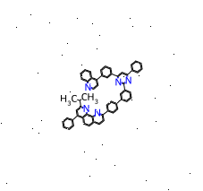 CC(C)c1cc(-c2ccccc2)c2ccc3ccc(-c4ccc(-c5cccc(-c6nc(-c7ccccc7)cc(-c7cccc(-c8ccnc9ccccc89)c7)n6)c5)cc4)nc3c2n1